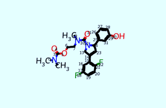 CN(C)C(=O)OCCN(C)C(=O)N1CC(c2cc(F)ccc2F)=CC1c1cccc(O)c1